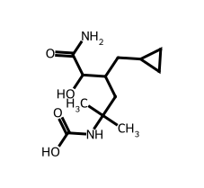 CC(C)(CC(CC1CC1)C(O)C(N)=O)NC(=O)O